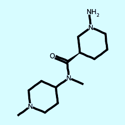 CN1CCC(N(C)C(=O)[C@@H]2CCCN(N)C2)CC1